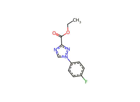 CCOC(=O)c1ncn(-c2ccc(F)cc2)n1